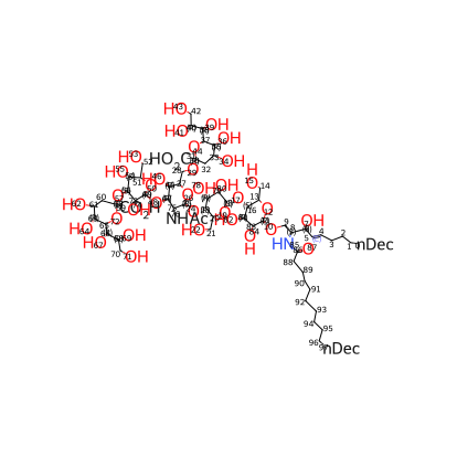 CCCCCCCCCCCCC/C=C/[C@@H](O)[C@H](CO[C@@H]1OC(CO)[C@@H](O[C@@H]2OC(CO)[C@H](O[C@@H]3OC(CO[C@]4(C(=O)O)CC(O)[C@@H](O)C([C@H](O)[C@H](O)CO)O4)[C@H](O)[C@H](O[C@@H]4OC(CO)[C@H](O)[C@H](O[C@]5(C(=O)O)CC(O)[C@@H](O)C([C@H](O)[C@H](O)CO)O5)C4O)C3NC(C)=O)[C@H](O)C2O)[C@H](O)C1O)NC(=O)CCCCCCCCCCCCCCCCCCC